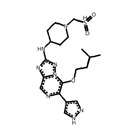 CC(C)CCOc1c(-c2cn[nH]c2)ncc2nc(NC3CCN(C[SH](=O)=O)CC3)nn12